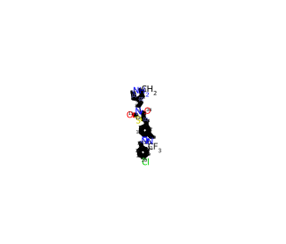 C=C/C=C(\C=C/N)CCN1C(=O)S/C(=C\c2ccc3c(cnn3Cc3ccc(Cl)cc3C(F)(F)F)c2)C1=O